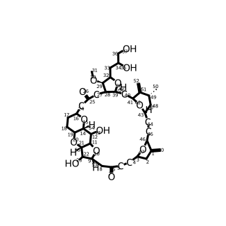 C=C1CC2CCC(=O)C[C@H]3OC4C(O)[C@H]5OC(CCC5O[C@H]4C3O)CC(=O)CC3[C@@H](OC)C(CC(O)CO)O[C@H]3CC3O[C@@H](CCC1O2)C[C@@H](C)C3=C